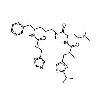 CC(C)c1nc(CN(C)C(=O)N[C@@H](CCN(C)C)C(=O)NCCC[C@H](Cc2ccccc2)NC(=O)OCc2cncs2)cs1